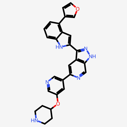 c1cc(-c2ccoc2)c2cc(-c3n[nH]c4cnc(-c5cncc(OC6CCNCC6)c5)cc34)[nH]c2c1